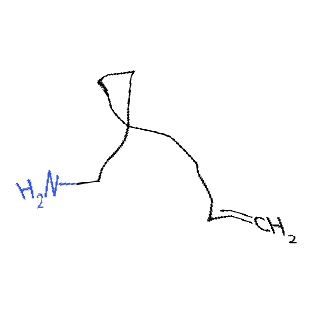 C=CCC1(CN)CC1